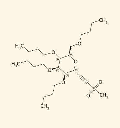 CCCCOC[C@H]1O[C@H](C#CS(C)(=O)=O)[C@@H](OCCCC)[C@@H](OCCCC)[C@@H]1OCCCC